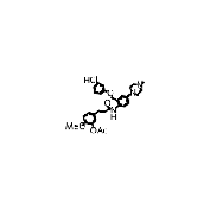 COc1ccc(C=CC(=O)Nc2ccc(N3CCN(C)CC3)cc2COc2ccccc2)cc1OC(C)=O.Cl